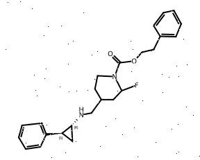 O=C(OCCc1ccccc1)N1CCC(CN[C@@H]2C[C@H]2c2ccccc2)CC1F